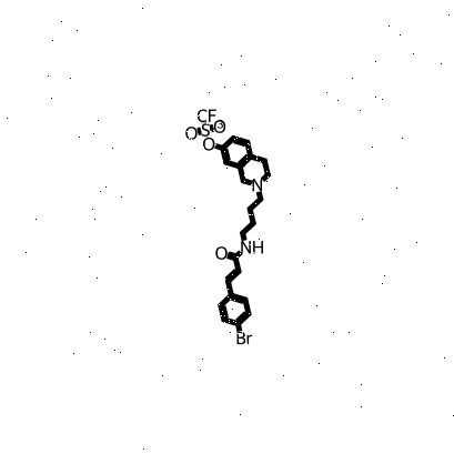 O=C(/C=C/c1ccc(Br)cc1)NCCCCN1CCc2ccc(OS(=O)(=O)C(F)(F)F)cc2C1